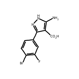 Nc1[nH]nc(-c2ccc(Br)c(F)c2)c1C(=O)O